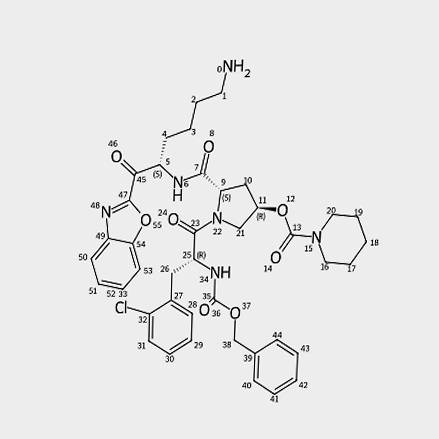 NCCCC[C@H](NC(=O)[C@@H]1C[C@@H](OC(=O)N2CCCCC2)CN1C(=O)[C@@H](Cc1ccccc1Cl)NC(=O)OCc1ccccc1)C(=O)c1nc2ccccc2o1